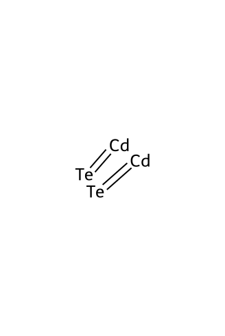 [Cd]=[Te].[Cd]=[Te]